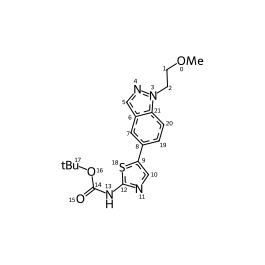 COCCn1ncc2cc(-c3cnc(NC(=O)OC(C)(C)C)s3)ccc21